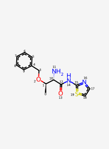 C[C@@H](OCc1ccccc1)[C@H](N)C(=O)Nc1nccs1